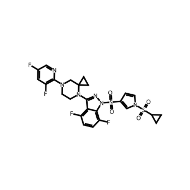 O=S(=O)(c1ccn(S(=O)(=O)C2CC2)c1)n1nc(N2CCN(c3ncc(F)cc3F)CC23CC3)c2c(F)ccc(F)c21